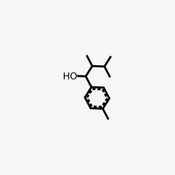 Cc1ccc(C(O)C(C)C(C)C)cc1